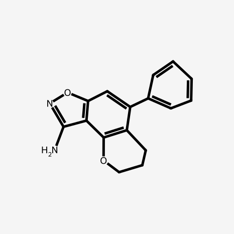 Nc1noc2cc(-c3ccccc3)c3c(c12)OCCC3